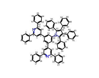 c1ccc(-c2cc(-c3cc(-c4cc(-c5ccccc5)nc(-c5ccccc5)c4)cc(-n4c(-c5ccccc5)c(-c5ccccc5)c(-c5ccccc5)c4-c4ccccc4)c3)cc(-c3ccccc3)n2)cc1